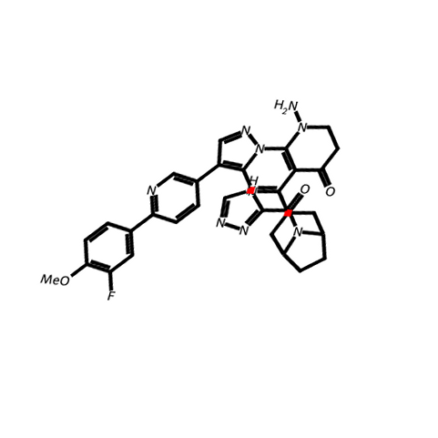 COc1ccc(-c2ccc(-c3cnn4c5c(c(C6CC7CCC(C6)N7C(=O)c6nnc[nH]6)nc34)C(=O)CCN5N)cn2)cc1F